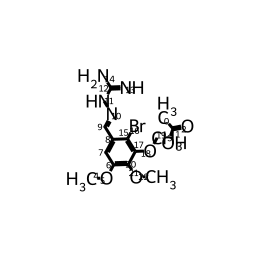 CC(=O)O.COc1cc(C=NNC(=N)N)c(Br)c(OC)c1OC